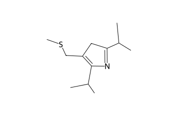 CSCC1=C(C(C)C)N=C(C(C)C)C1